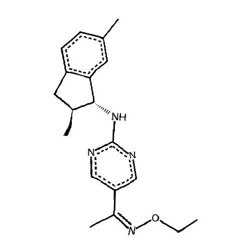 CCO/N=C(/C)c1cnc(N[C@H]2c3cc(C)ccc3C[C@@H]2C)nc1